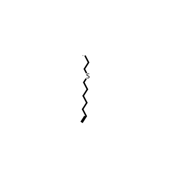 [CH2]CCSCCCCCC=C